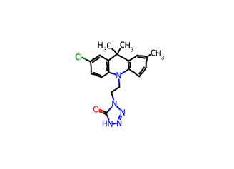 Cc1ccc2c(c1)C(C)(C)c1cc(Cl)ccc1N2CCn1nn[nH]c1=O